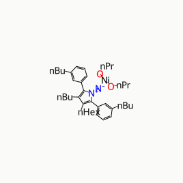 CCCCCCC1=C(c2cccc(CCCC)c2)[N+](=[N-])C(c2cccc(CCCC)c2)=C1CCCC.CCC[O][Ni][O]CCC